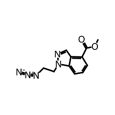 COC(=O)c1cccc2c1cnn2CCN=[N+]=[N-]